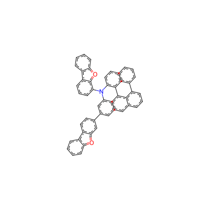 c1ccc(-c2cccc3cccc(-c4ccccc4N(c4cccc(-c5ccc6c(c5)oc5ccccc56)c4)c4cccc5c4oc4ccccc45)c23)cc1